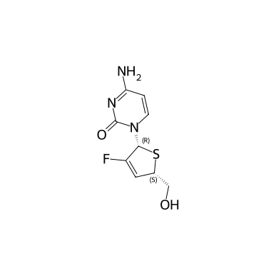 Nc1ccn([C@@H]2S[C@H](CO)C=C2F)c(=O)n1